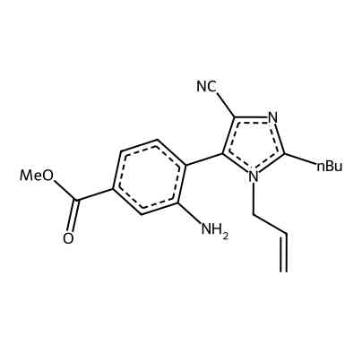 C=CCn1c(CCCC)nc(C#N)c1-c1ccc(C(=O)OC)cc1N